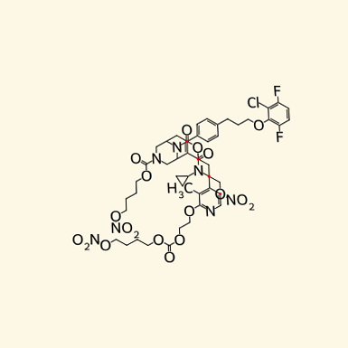 Cc1c(CN(C(=O)C2=C(c3ccc(CCCOc4c(F)ccc(F)c4Cl)cc3)CC3CN(C(=O)OCCCCO[N+](=O)[O-])CC2N3C(=O)OCCCCO[N+](=O)[O-])C2CC2)ccnc1OCCOC(=O)OCCCCO[N+](=O)[O-]